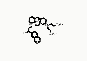 CCC(CC[C@@H]1CCC=C2C=C3CC[C@H](N(CCOC)CCOC)C[C@]34CC[C@@]21O4)c1ccc2ccncc2c1